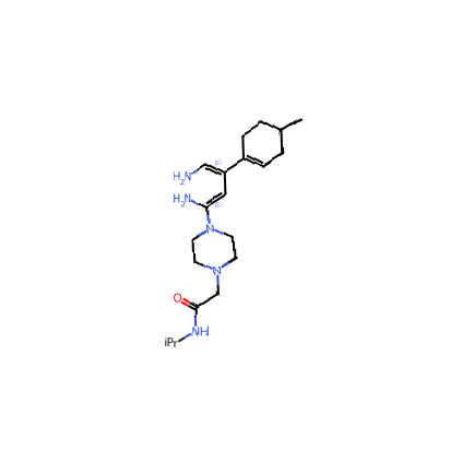 CC1CC=C(C(=C/N)/C=C(\N)N2CCN(CC(=O)NC(C)C)CC2)CC1